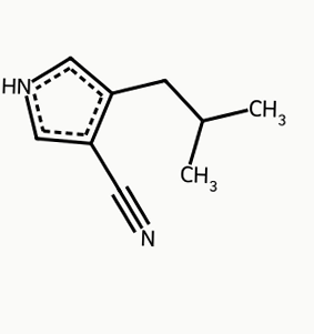 CC(C)Cc1c[nH]cc1C#N